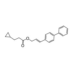 O=C(CCC1CC1)OCC=Cc1ccc(-c2ccccc2)cc1